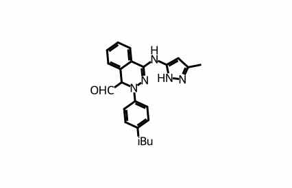 CCC(C)c1ccc(N2N=C(Nc3cc(C)n[nH]3)c3ccccc3C2C=O)cc1